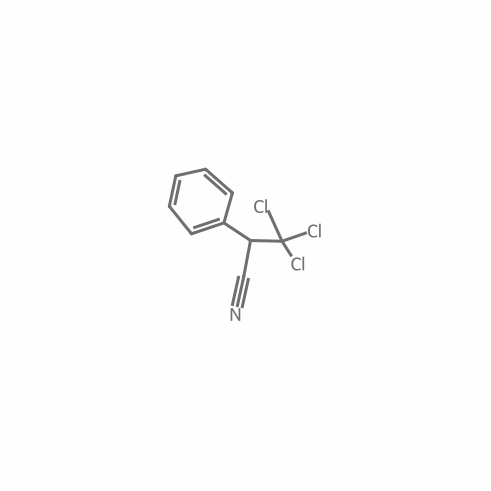 N#CC(c1ccccc1)C(Cl)(Cl)Cl